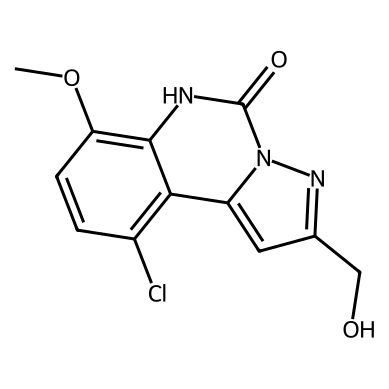 COc1ccc(Cl)c2c1[nH]c(=O)n1nc(CO)cc21